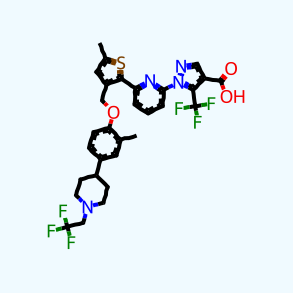 Cc1cc(COc2ccc(C3CCN(CC(F)(F)F)CC3)cc2C)c(-c2cccc(-n3ncc(C(=O)O)c3C(F)(F)F)n2)s1